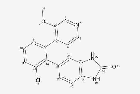 COc1cnccc1-c1cccc(Cl)c1-c1ccc2[nH]c(=O)[nH]c2c1